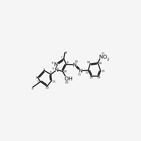 Cc1ccc(-n2nc(C)c(N=Nc3cccc([N+](=O)[O-])c3)c2O)cc1